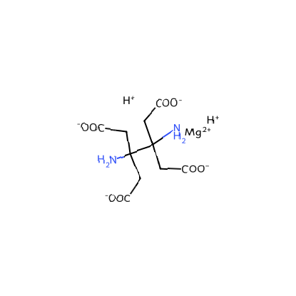 NC(CC(=O)[O-])(CC(=O)[O-])C(N)(CC(=O)[O-])CC(=O)[O-].[H+].[H+].[Mg+2]